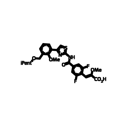 CCCC(C)OCc1cccc(-c2csc(NC(=O)c3cc(F)c(/C=C(\OC)C(=O)O)c(F)c3)n2)c1OC